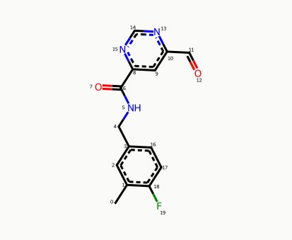 Cc1cc(CNC(=O)c2cc(C=O)ncn2)ccc1F